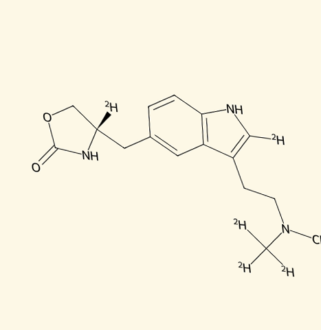 [2H]c1[nH]c2ccc(C[C@@]3([2H])COC(=O)N3)cc2c1CCN(C)C([2H])([2H])[2H]